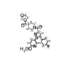 CCOC(=O)C1CCN(C(=O)c2cc(-c3ccc(F)cc3)n(-c3ccc(OC)nc3)n2)CC1